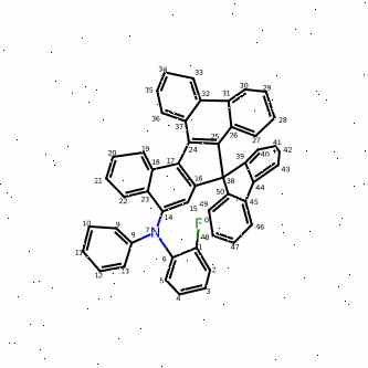 Fc1ccccc1N(c1ccccc1)c1cc2c(c3ccccc13)-c1c(c3ccccc3c3ccccc13)C21c2ccccc2-c2ccccc21